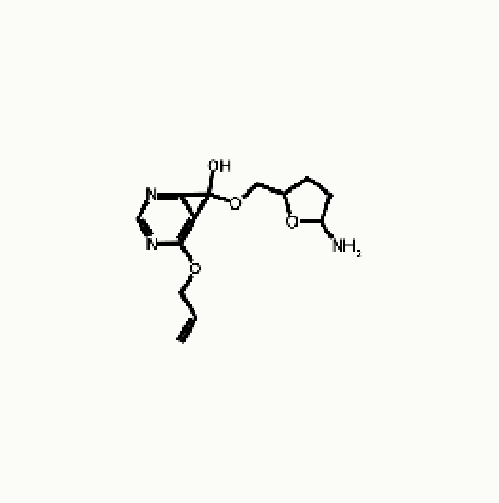 C=CCOc1ncnc2c1C2(O)OCC1CCC(N)O1